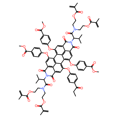 C=C(C)C(=O)OCCN(CCOC(=O)C(=C)C)C(=O)C(C(C)C)N1C(=O)c2cc(Oc3ccc(C(=O)CC)cc3)c3c4c(Oc5ccc(C(=O)OC)cc5)cc5c6c(cc(Oc7ccc(C(=O)OC)cc7)c(c7c(Oc8ccc(C(=O)OC)cc8)cc(c2c37)C1=O)c64)C(=O)N(C(C(=O)N(CCOC(=O)C(=C)C)CCOC(=O)C(=C)C)C(C)C)C5=O